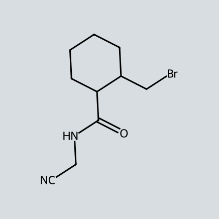 N#CCNC(=O)C1CCCCC1CBr